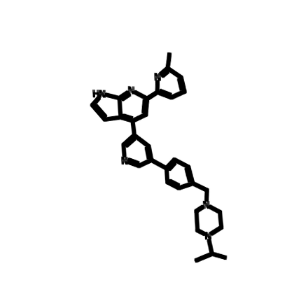 Cc1cccc(-c2cc(-c3cncc(-c4ccc(CN5CCN(C(C)C)CC5)cc4)c3)c3cc[nH]c3n2)n1